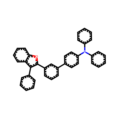 c1ccc(-c2c(-c3cccc(-c4ccc(N(c5ccccc5)c5ccccc5)cc4)c3)oc3ccccc23)cc1